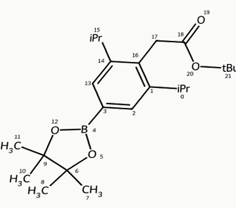 CC(C)c1cc(B2OC(C)(C)C(C)(C)O2)cc(C(C)C)c1CC(=O)OC(C)(C)C